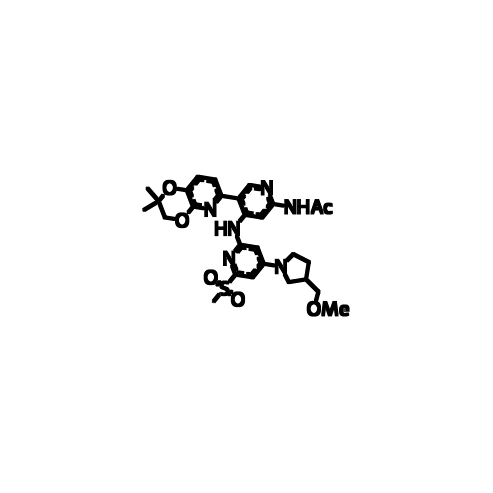 COCC1CCN(c2cc(Nc3cc(NC(C)=O)ncc3-c3ccc4c(n3)OCC(C)(C)O4)nc(S(C)(=O)=O)c2)C1